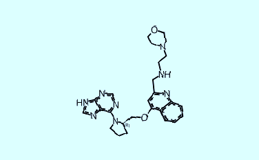 c1ccc2c(OC[C@H]3CCCN3c3ncnc4[nH]cnc34)cc(CNCCN3CCOCC3)nc2c1